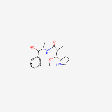 COC(C(C)C(=O)NC(C)C(O)c1ccccc1)[C@@H]1CCCN1